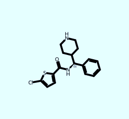 O=C(N[C@H](c1ccccc1)C1CCNCC1)c1ccc(Cl)s1